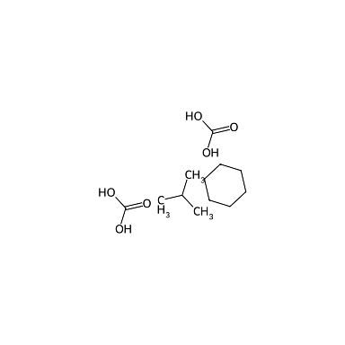 C1CCCCC1.CC(C)C.O=C(O)O.O=C(O)O